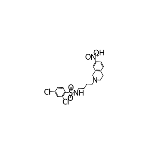 O=[N+](O)c1ccc2c(c1)CN(CCCCNS(=O)(=O)c1ccc(Cl)cc1Cl)CC2